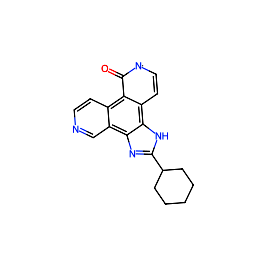 O=C1[N]C=Cc2c1c1ccncc1c1nc(C3CCCCC3)[nH]c21